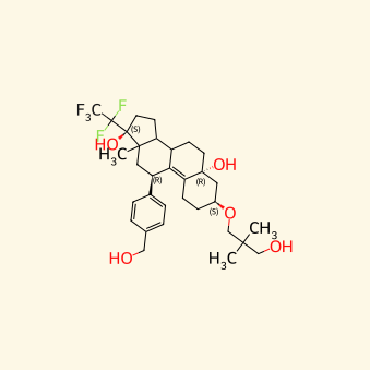 CC(C)(CO)CO[C@H]1CCC2=C3C(CC[C@@]2(O)C1)C1CC[C@@](O)(C(F)(F)C(F)(F)F)C1(C)C[C@@H]3c1ccc(CO)cc1